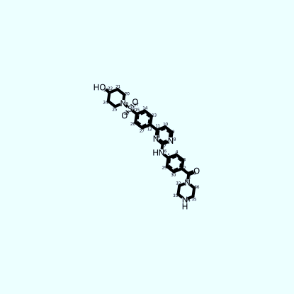 O=C(c1ccc(Nc2nccc(-c3ccc(S(=O)(=O)N4CCC(O)CC4)cc3)n2)cc1)N1CCNCC1